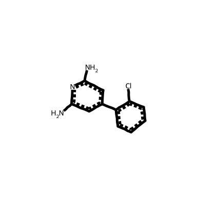 Nc1cc(-c2ccccc2Cl)cc(N)n1